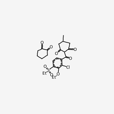 CCOc1c(S(=O)(=O)CC)ccc(C(=O)C2C(=O)CC(C)CC2=O)c1Cl.O=C1CCCCC1=O